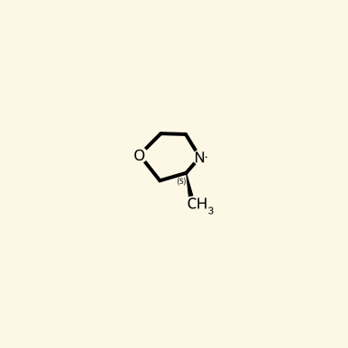 C[C@H]1COCC[N]1